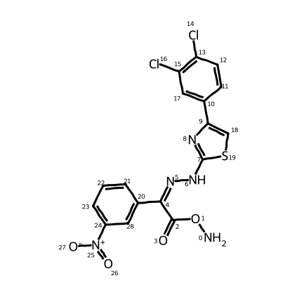 NOC(=O)/C(=N\Nc1nc(-c2ccc(Cl)c(Cl)c2)cs1)c1cccc([N+](=O)[O-])c1